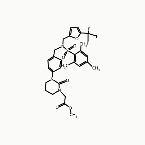 COC(=O)CN1CCCN(c2ccc(CN(Cc3ccc(C(F)(F)F)o3)S(=O)(=O)c3c(C)cc(C)cc3C)cc2)C1=O